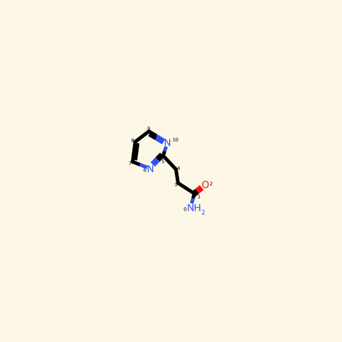 NC(=O)C[CH]c1ncccn1